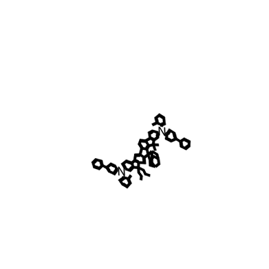 CCCC1(CCC)c2cc(N(c3ccc(-c4ccccc4)cc3)c3ccccc3C)ccc2-c2cc3c(cc21)C1(c2c-3ccc3c2C(C)(C)c2cc(N(c4ccc(-c5ccccc5)cc4)c4ccccc4C)ccc2-3)C2CC3CC(C2)CC1C3